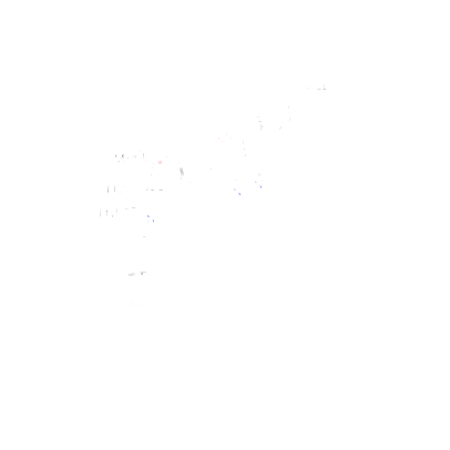 COC(=O)C(C)(Cc1ccc(OC(c2ccc(CC(C)C)cc2)c2cn[nH]c2)cc1)C(C)=NOCc1ccccc1